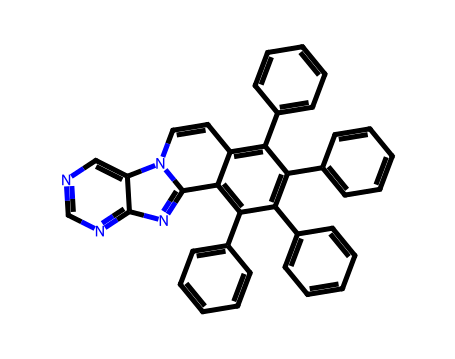 c1ccc(-c2c(-c3ccccc3)c(-c3ccccc3)c3c(ccn4c5cncnc5nc34)c2-c2ccccc2)cc1